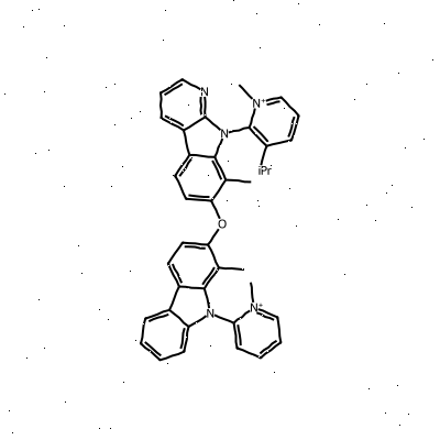 Cc1c(Oc2ccc3c4cccnc4n(-c4c(C(C)C)ccc[n+]4C)c3c2C)ccc2c3ccccc3n(-c3cccc[n+]3C)c12